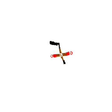 [CH]=CS(C)(=O)=O